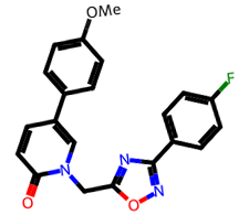 COc1ccc(-c2ccc(=O)n(Cc3nc(-c4ccc(F)cc4)no3)c2)cc1